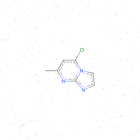 Cc1cc(Cl)n2ccnc2n1